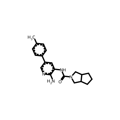 Cc1ccc(-c2cnc(N)c(NC(=O)N3CC4CCCC4C3)c2)cc1